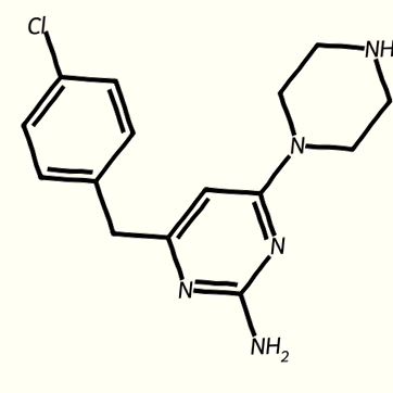 Nc1nc(Cc2ccc(Cl)cc2)cc(N2CCNCC2)n1